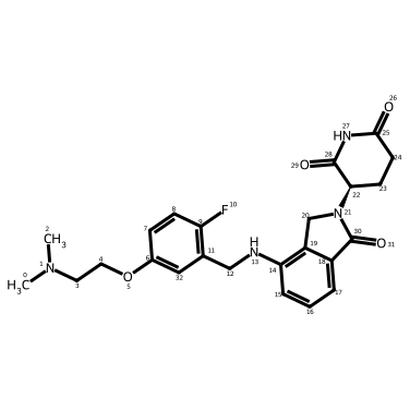 CN(C)CCOc1ccc(F)c(CNc2cccc3c2CN([C@@H]2CCC(=O)NC2=O)C3=O)c1